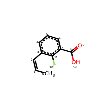 C/C=C\c1cccc(C(=O)O)c1F